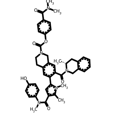 Cc1c(C(=O)N(C)c2ccc(O)cc2)cc(-c2cc3c(cc2C(=O)N2Cc4ccccc4C[C@H]2C)CN(C(=O)Oc2ccc(C(=O)N(C)C)cc2)CC3)n1C